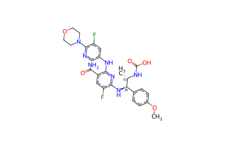 COc1ccc([C@@H](Nc2nc(Nc3cnc(N4CCOCC4)c(F)c3)c(C(N)=O)cc2F)[C@H](C)NC(=O)O)cc1